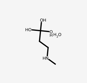 CNCCC(O)(O)O.O